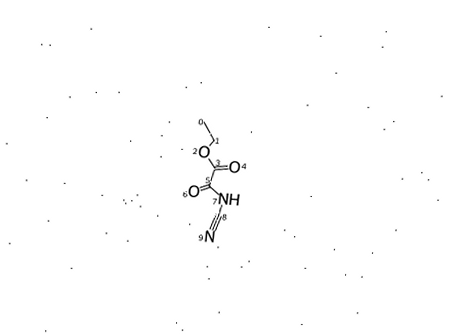 CCOC(=O)C(=O)NC#N